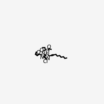 CCCCCCCC#Cc1nc(Cl)c2nc(-c3ccco3)n(C3OCCC3OC(C)=O)c2n1